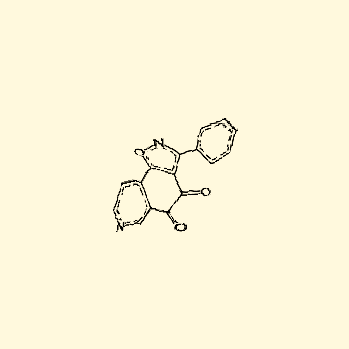 O=C1C(=O)c2c(-c3ccccc3)noc2-c2ccncc21